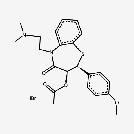 Br.COc1ccc([C@@H]2Sc3ccccc3N(CCN(C)C)C(=O)[C@@H]2OC(C)=O)cc1